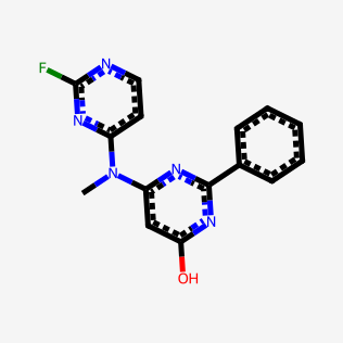 CN(c1ccnc(F)n1)c1cc(O)nc(-c2ccccc2)n1